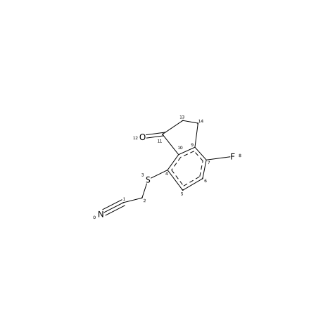 N#CCSc1ccc(F)c2c1C(=O)CC2